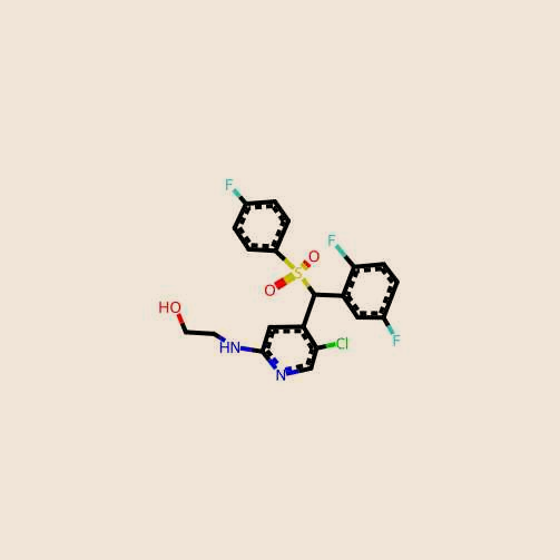 O=S(=O)(c1ccc(F)cc1)C(c1cc(F)ccc1F)c1cc(NCCO)ncc1Cl